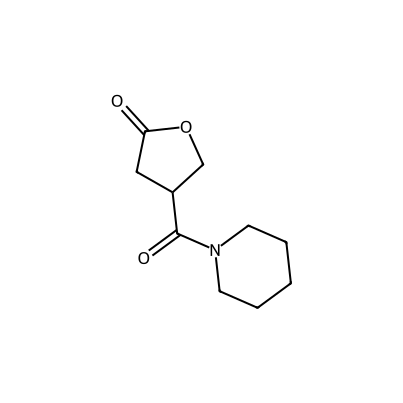 O=C1CC(C(=O)N2CCCCC2)CO1